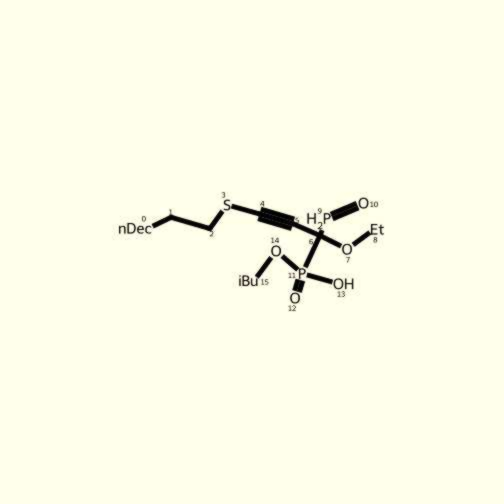 CCCCCCCCCCCCSC#CC(OCC)([PH2]=O)P(=O)(O)OC(C)CC